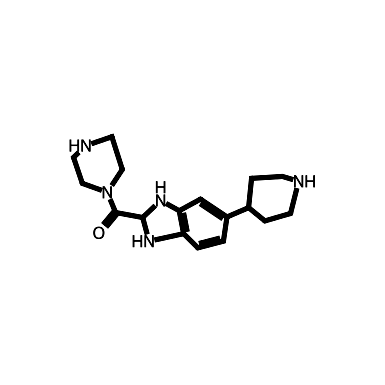 O=C(C1Nc2ccc(C3CCNCC3)cc2N1)N1CCNCC1